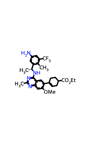 CCOC(=O)C1CC=C(c2cc3c(N[C@H](C)c4cc(N)cc(C(F)(F)F)c4C)nc(C)nc3cc2OC)CC1